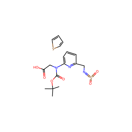 CC(C)(C)OC(=O)N(CC(=O)O)c1cccc(CN=S(=O)=O)n1.c1ccsc1